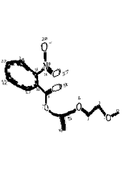 COCCOC(C)OC(=O)c1ccccc1[N+](=O)[O-]